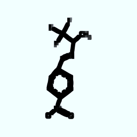 CC(/N=C/c1ccc([N+](=O)[O-])cc1)C(F)(F)F